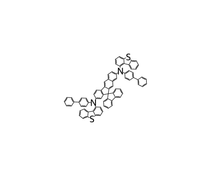 c1ccc(-c2ccc(N(c3ccc4c(c3)C3(c5ccccc5-c5ccccc53)c3cc5cc(N(c6ccc(-c7ccccc7)cc6)c6cccc7sc8ccccc8c67)ccc5cc3-4)c3cccc4sc5ccccc5c34)cc2)cc1